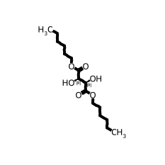 CCCCCCOC(=O)[C@H](O)[C@@H](O)C(=O)OCCCCCC